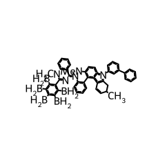 Bc1c(B)c(B)c(/C(N=C)=N/C(=N\c2ccccc2-c2c(NC)ccc3c2c2c(n3-c3cccc(-c4ccccc4)c3)CC(C)C=C2)c2ccccc2)c(B)c1B